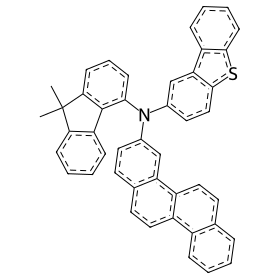 CC1(C)c2ccccc2-c2c(N(c3ccc4ccc5c6ccccc6ccc5c4c3)c3ccc4sc5ccccc5c4c3)cccc21